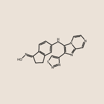 ON=C1CCc2cc(Nc3c(-c4csnn4)nc4cnccn34)ccc21